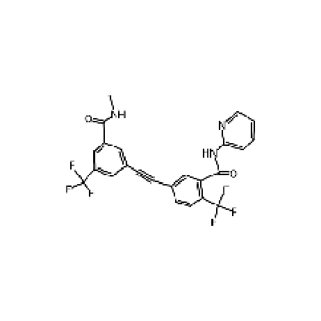 CNC(=O)c1cc(C#Cc2ccc(C(F)(F)F)c(C(=O)Nc3ccccn3)c2)cc(C(F)(F)F)c1